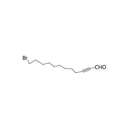 O=CC#CCCCCCCCCCBr